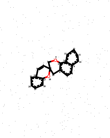 C1=CC2(COc3c(ccc4ccccc34)C2)Oc2ccccc21